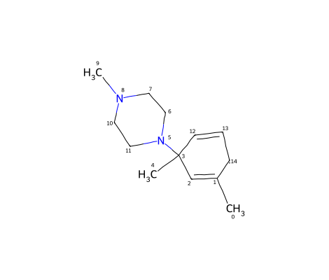 CC1=CC(C)(N2CCN(C)CC2)C=C[CH]1